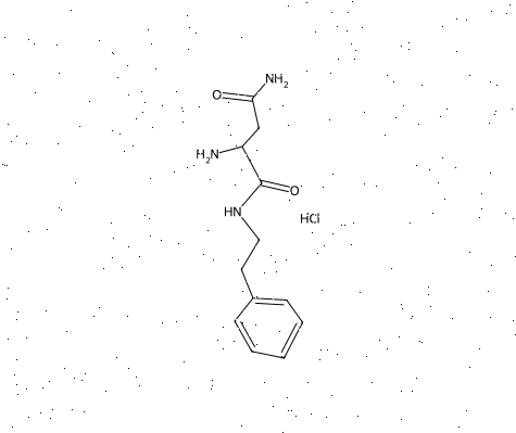 Cl.NC(=O)CC(N)C(=O)NCCc1ccccc1